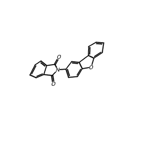 O=C1c2ccccc2C(=O)N1c1ccc2oc3ccccc3c2c1